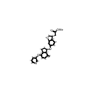 COC(=O)C[C@@H]1COc2cc(O[C@@H]3CCc4c(Oc5cccnc5)ccc(F)c43)ccc21